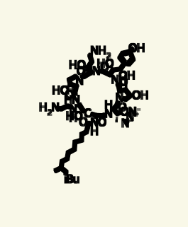 CCC(C)CC(C)CCCCCCCCC(=O)N[C@H]1C[C@@H](O)[C@H](NCCN)NC(=O)[C@@H]2[C@@H](O)CCN2C(=O)[C@H]([C@@H](O)CCN)NC(=O)[C@H]([C@H](O)[C@@H](O)c2ccc(O)cc2)NC(=O)[C@@H]2C[C@@H](O)CN2C(=O)[C@H]([C@@H](C)O)NC1=O.[N-]=[N+]=[N-]